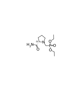 CCOP(=O)(CN1CCC[C@H]1C(N)=O)OCC